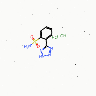 Cl.Cl.NS(=O)(=O)c1ccccc1-c1nn[nH]n1